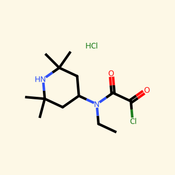 CCN(C(=O)C(=O)Cl)C1CC(C)(C)NC(C)(C)C1.Cl